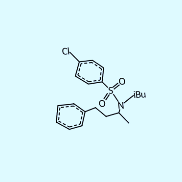 CCC(C)N(C(C)CCc1ccccc1)S(=O)(=O)c1ccc(Cl)cc1